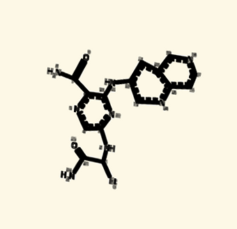 CCC(Nc1cnc(C(N)=O)c(Nc2cnc3ccncc3c2)n1)C(N)=O